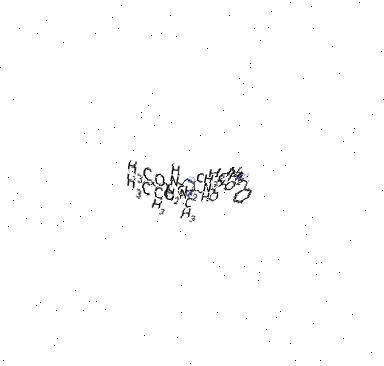 C=C(/C=C(C)\C(CNC(=O)C(=C)O/C(=C\N)Cc1ccccc1)=C(\C)N)NC(=O)OC(C)(C)C